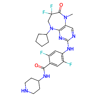 CN1C(=O)C(F)(F)CN(C2CCCC2)c2nc(Nc3cc(F)c(C(=O)NC4CCNCC4)cc3F)ncc21